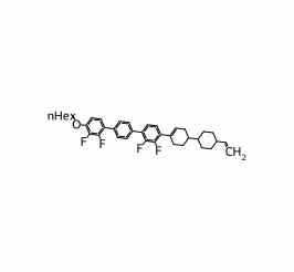 C=CC1CCC(C2CC=C(c3ccc(-c4ccc(-c5ccc(OCCCCCC)c(F)c5F)cc4)c(F)c3F)CC2)CC1